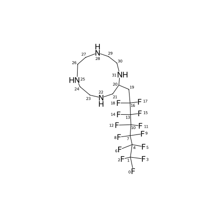 FC(F)(F)C(F)(F)C(F)(F)C(F)(F)C(F)(F)C(F)(F)CC1CNCCNCCNCCN1